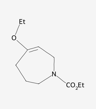 CCOC(=O)N1CC=C(OCC)CCC1